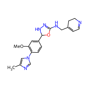 COc1cc(C2NN=C(NCC3=CC=NCC3)O2)ccc1-n1cnc(C)c1